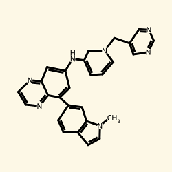 Cn1ccc2ccc(-c3cc(NC4=CC=CN(Cc5cncnc5)C4)cc4nccnc34)cc21